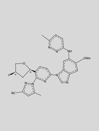 COc1cc2ncn(-c3ccc([C@H]4C[C@@H](F)CO4)c(-n4nc(C#N)cc4C)n3)c2cc1Nc1ccc(C)nn1